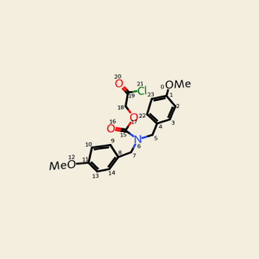 COc1ccc(CN(Cc2ccc(OC)cc2)C(=O)OCC(=O)Cl)cc1